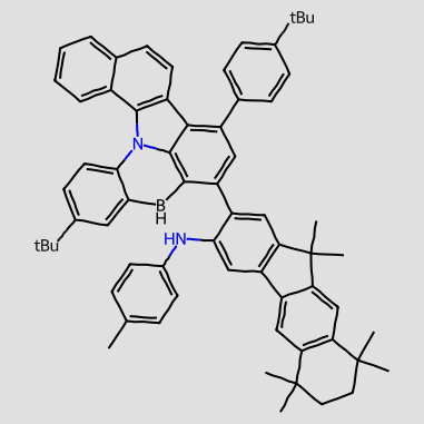 Cc1ccc(Nc2cc3c(cc2-c2cc(-c4ccc(C(C)(C)C)cc4)c4c5ccc6ccccc6c5n5c4c2Bc2cc(C(C)(C)C)ccc2-5)C(C)(C)c2cc4c(cc2-3)C(C)(C)CCC4(C)C)cc1